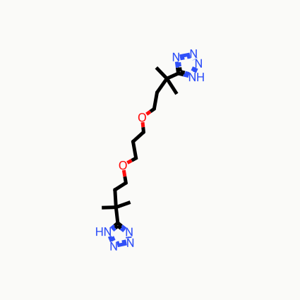 CC(C)(CCOCCCOCCC(C)(C)c1nnn[nH]1)c1nnn[nH]1